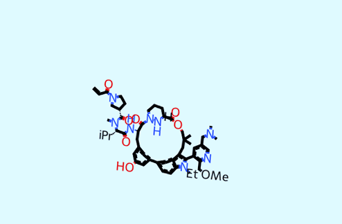 C=CC(=O)N1CC[C@H](C(=O)N(C)[C@H](C(=O)N[C@H]2Cc3cc(O)cc(c3)-c3ccc4c(c3)c(c(-c3cc(CN(C)C)cnc3COC)n4CC)CC(C)(C)COC(=O)[C@@H]3CCCN(N3)C2=O)C(C)C)C1